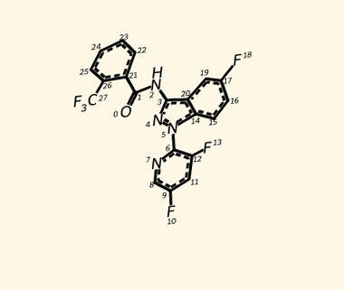 O=C(Nc1nn(-c2ncc(F)cc2F)c2ccc(F)cc12)c1ccccc1C(F)(F)F